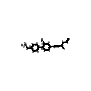 C=CCC(C)C#Cc1ccc(-c2ccc(CN)cc2)c(F)c1